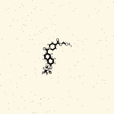 CCOC(=O)C1CCN(C(=O)c2ccc3cc(OS(=O)(=O)C(F)(F)F)ccc3c2)CC1